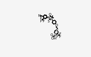 CC1(C)C(=O)N(c2ccc(C#N)c(C(F)(F)F)c2)C(=S)N1[C@H]1CC[C@H](OCCN2CCN(CC(=O)O)[C@@H](C(F)(F)F)C2)CC1